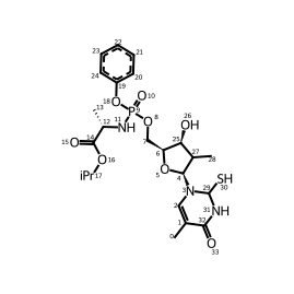 CC1=CN([C@H]2O[C@@H](COP(=O)(N[C@@H](C)C(=O)OC(C)C)Oc3ccccc3)[C@@H](O)C2C)C(S)NC1=O